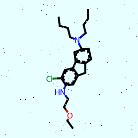 CCCCN(CCCC)c1ccc2c(c1)-c1cc(Cl)c(NCCOCC)cc1C2